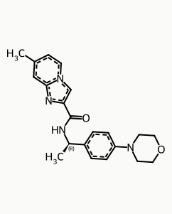 Cc1ccn2cc(C(=O)N[C@H](C)c3ccc(N4CCOCC4)cc3)nc2c1